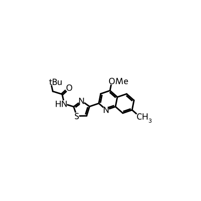 COc1cc(-c2csc(NC(=O)CC(C)(C)C)n2)nc2cc(C)ccc12